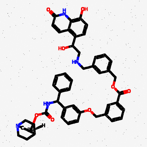 O=C(NC(c1ccccc1)c1cccc(OCc2cccc(C(=O)OCc3cccc(CNCC(O)c4ccc(O)c5[nH]c(=O)ccc45)c3)c2)c1)O[C@H]1CN2CCC1CC2